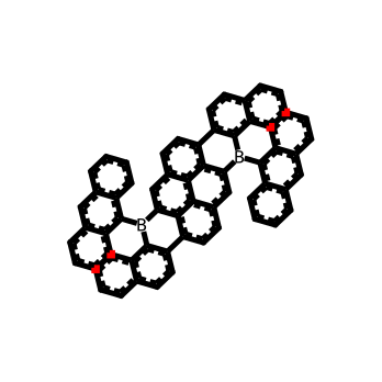 c1ccc2c3c(ccc2c1)-c1ccc2cc4c5c(ccc6cc(c1c2c65)B3c1c2ccccc2cc2ccccc12)-c1ccc2ccccc2c1B4c1c2ccccc2cc2ccccc12